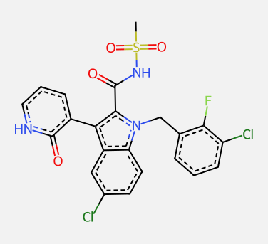 CS(=O)(=O)NC(=O)c1c(-c2ccc[nH]c2=O)c2cc(Cl)ccc2n1Cc1cccc(Cl)c1F